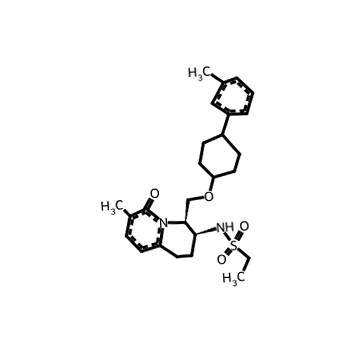 CCS(=O)(=O)N[C@H]1CCc2ccc(C)c(=O)n2[C@H]1COC1CCC(c2cccc(C)c2)CC1